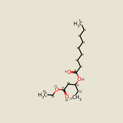 CCCCCCCCC(=O)OC(CC)CC(=O)OCC